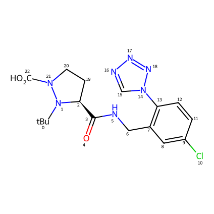 CC(C)(C)N1[C@H](C(=O)NCc2cc(Cl)ccc2-n2cnnn2)CCN1C(=O)O